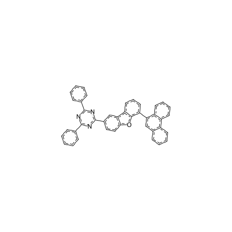 c1ccc(-c2nc(-c3ccccc3)nc(-c3ccc4oc5c(-c6cc7ccccc7c7ccccc67)cccc5c4c3)n2)cc1